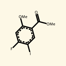 COC(=O)c1cc(I)c(F)cc1OC